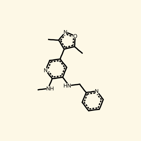 CNc1ncc(-c2c(C)noc2C)cc1NCc1ccccn1